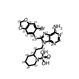 Nc1ncnc2c1nc(Sc1cc3c(cc1Br)OCO3)n2CCC1CCCCN1P(=O)(O)O